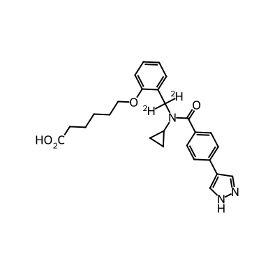 [2H]C([2H])(c1ccccc1OCCCCCC(=O)O)N(C(=O)c1ccc(-c2cn[nH]c2)cc1)C1CC1